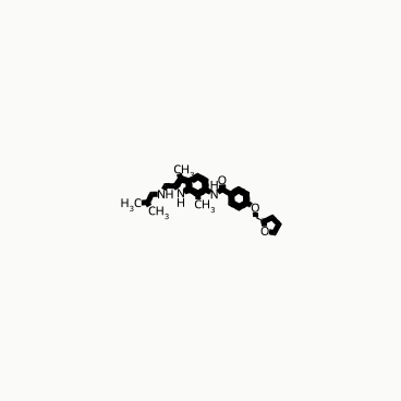 Cc1c(CNCC(C)C)[nH]c2c(C)c(NC(=O)c3ccc(OC[C@@H]4CCCO4)cc3)ccc12